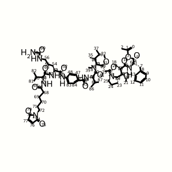 C=C(C)OC(=O)[C@H](Cc1ccccc1)NC(=O)[C@H](C)[C@@H](OC)[C@@H]1CCCN1C(=O)C[C@@H](OC)[C@H]([C@@H](C)CC)N(C)C(=O)[C@@H](NC(=O)c1ccc(NC(=O)[C@H](CCCNC(N)=O)NC(=O)[C@@H](NC(=O)CCCCCN2C(=O)C=CC2=O)C(C)C)cc1)C(C)C